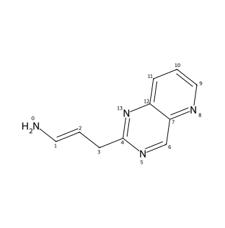 NC=CCc1ncc2ncccc2n1